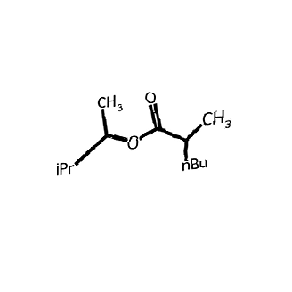 CCCCC(C)C(=O)OC(C)C(C)C